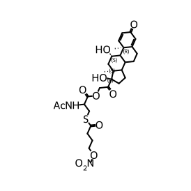 CC(=O)NC(CSC(=O)CCCO[N+](=O)[O-])C(=O)OCC(=O)[C@@]1(O)CCC2C3CCC4=CC(=O)C=C[C@]4(C)C3[C@@H](O)C[C@@]21C